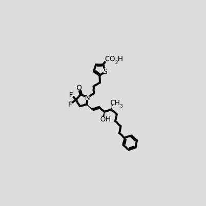 C[C@H](CCCCc1ccccc1)[C@@H](O)C=C[C@H]1CC(F)(F)C(=O)N1CCCc1ccc(C(=O)O)s1